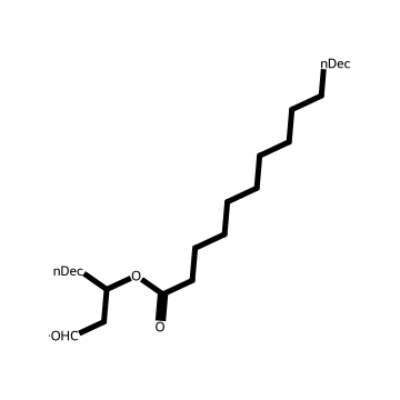 CCCCCCCCCCCCCCCCCCCC(=O)OC(C[C]=O)CCCCCCCCCC